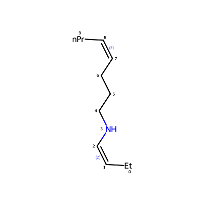 CC/C=C\NCCC/C=C\CCC